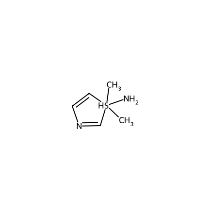 C[SH]1(C)(N)C=CN=C1